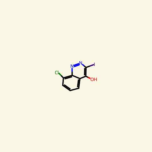 Oc1c(I)nnc2c(Cl)cccc12